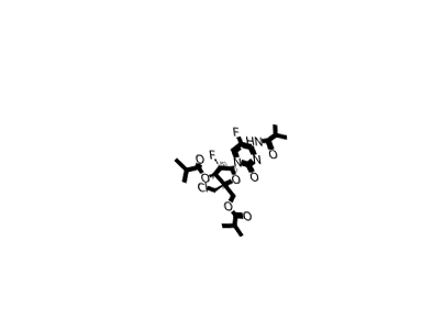 CC(C)C(=O)Nc1nc(=O)n([C@@H]2O[C@](CCl)(COC(=O)C(C)C)[C@@H](OC(=O)C(C)C)[C@@H]2F)cc1F